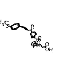 CSc1ccc(/C=C/C(=O)c2ccc(S(=O)(=O)NCCC(=O)O)cc2)cc1